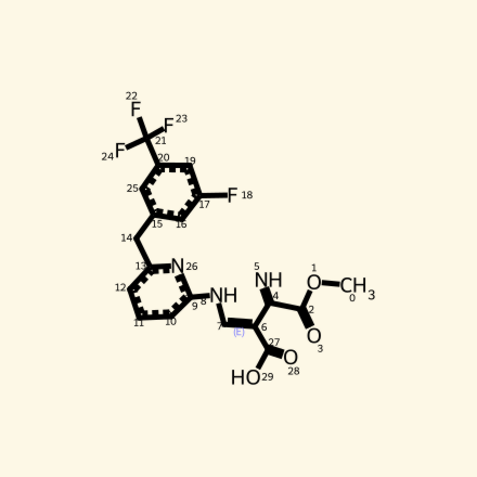 COC(=O)C(=N)/C(=C\Nc1cccc(Cc2cc(F)cc(C(F)(F)F)c2)n1)C(=O)O